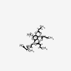 C#CC[N+](C)(C)CCOC1O[C@@H](C)[C@H](OC(=O)CCC)[C@@H](OC(=O)CCC)[C@H]1OC(=O)CCC.[I-]